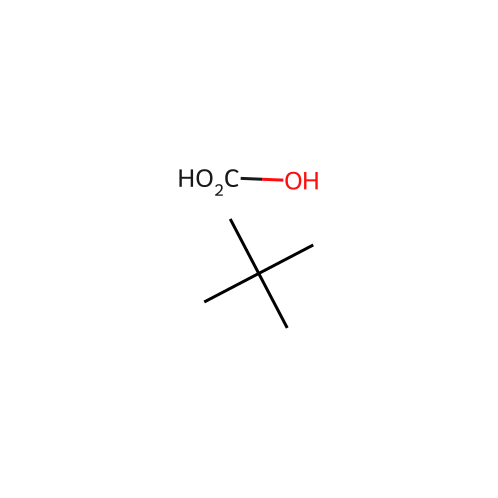 CC(C)(C)C.O=C(O)O